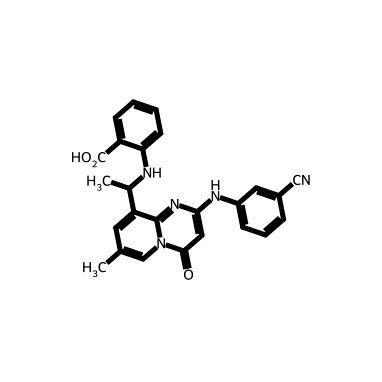 Cc1cc(C(C)Nc2ccccc2C(=O)O)c2nc(Nc3cccc(C#N)c3)cc(=O)n2c1